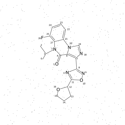 CC(C)n1c(=O)c2c(-c3noc(C4CCCO4)n3)ncn2c2cccc(F)c21